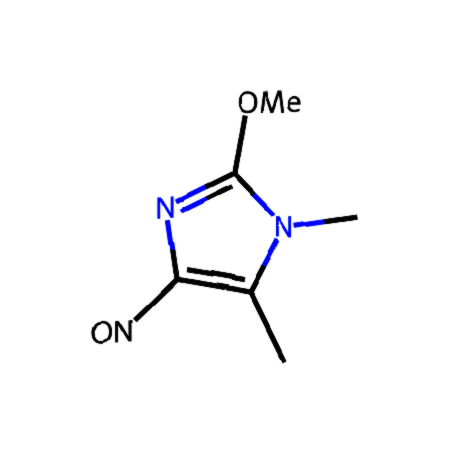 COc1nc(N=O)c(C)n1C